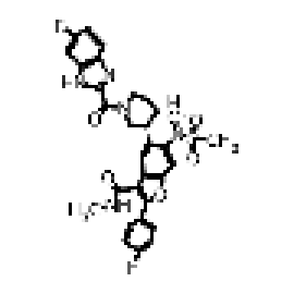 CNC(=O)c1c(-c2ccc(F)cc2)oc2cc(N(C)S(C)(=O)=O)c([C@@H]3CCCN(C(=O)c4nc5ccc(F)cc5[nH]4)C3)cc12